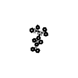 c1ccc([Si](c2ccccc2)(c2ccc(-c3nc(-n4c5ccccc5c5ccccc54)nc(-n4c5ccccc5n5c6ccccc6nc45)n3)cc2)c2ccc(-n3c4ccccc4c4ccccc43)cc2)cc1